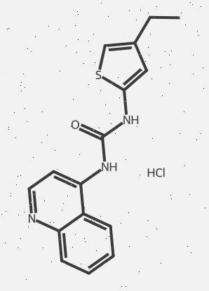 CCc1csc(NC(=O)Nc2ccnc3ccccc23)c1.Cl